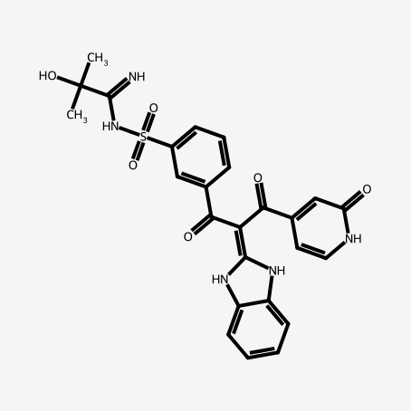 CC(C)(O)C(=N)NS(=O)(=O)c1cccc(C(=O)C(C(=O)c2cc[nH]c(=O)c2)=C2Nc3ccccc3N2)c1